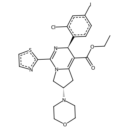 CCOC(=O)C1=C2C[C@H](N3CCOCC3)CN2C(c2nccs2)=N[C@H]1c1ccc(I)cc1Cl